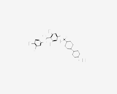 CC1CCC(C2CCC(C(F)(F)Oc3cc(F)c(C(=O)Oc4ccc(F)c(F)c4)c(F)c3)CC2)CC1